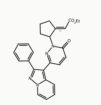 CCOC(=O)/C=C1\CCCC1n1nc(-c2c(-c3ccccc3)nn3ccccc23)ccc1=O